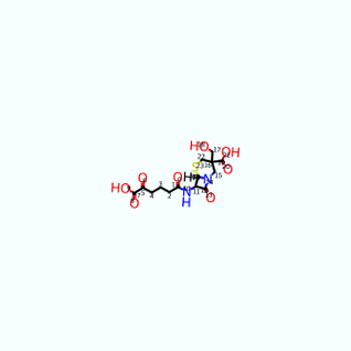 O=C(CCCC(=O)C(=O)O)NC1C(=O)N2CC(CO)(C(=O)O)CS[C@H]12